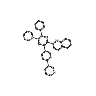 c1ccc(-c2nc(-c3ccc(-c4cccnc4)cc3)c(-c3ccc4ccccc4n3)nc2-c2ccccc2)cc1